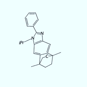 CC(C)n1c(-c2ccccc2)nc2cc3c(cc21)C1(C)CCC3(C)CC1